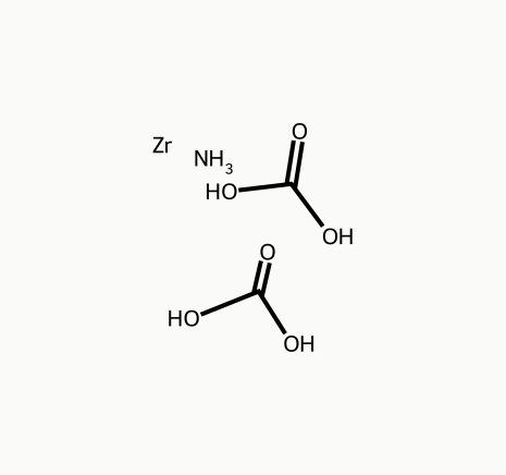 N.O=C(O)O.O=C(O)O.[Zr]